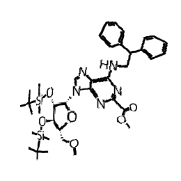 COC[C@H]1O[C@@H](n2cnc3c(NCC(c4ccccc4)c4ccccc4)nc(C(=O)OC)nc32)[C@@H](O[Si](C)(C)C(C)(C)C)[C@@H]1O[Si](C)(C)C(C)(C)C